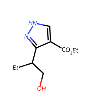 CCOC(=O)c1c[nH]nc1C(CC)CO